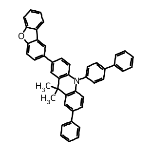 CC1(C)c2cc(-c3ccccc3)ccc2N(c2ccc(-c3ccccc3)cc2)c2ccc(-c3ccc4oc5ccccc5c4c3)cc21